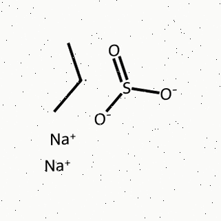 C[CH]C.O=S([O-])[O-].[Na+].[Na+]